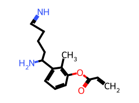 C=CC(=O)Oc1cccc(C(N)CCCC=N)c1C